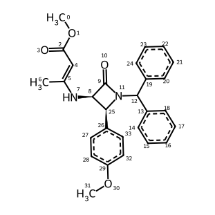 COC(=O)C=C(C)N[C@H]1C(=O)N(C(c2ccccc2)c2ccccc2)[C@H]1c1ccc(OC)cc1